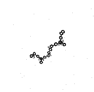 c1ccc(-c2nc(-c3ccc(-c4ccc5ccccc5c4)cc3)cc(-c3ccc(-c4ccc5sc6cc(-c7ccc8c(c7)sc7ccc(-c9ccc(-c%10cc(-c%11ccc(-c%12cccc%13c%12sc%12ccccc%12%13)cc%11)nc(-c%11ccccc%11)n%10)cc9)cc78)ccc6c5c4)cc3)n2)cc1